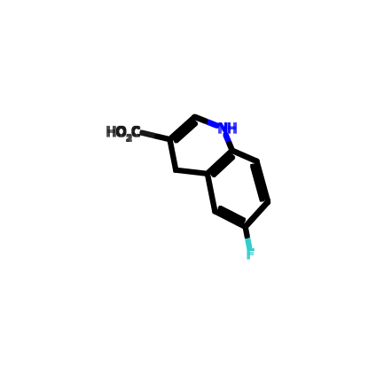 O=C(O)C1=CNc2ccc(F)cc2C1